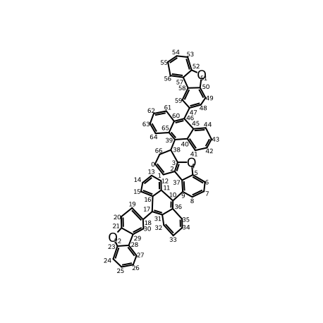 C1=Cc2c(oc3cccc(-c4c5ccccc5c(-c5ccc6oc7ccccc7c6c5)c5ccccc45)c23)C(c2c3ccccc3c(-c3ccc4oc5ccccc5c4c3)c3ccccc23)C1